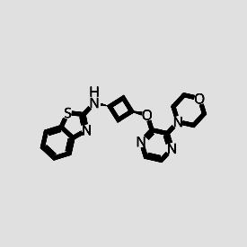 c1ccc2sc(N[C@H]3C[C@H](Oc4nccnc4N4CCOCC4)C3)nc2c1